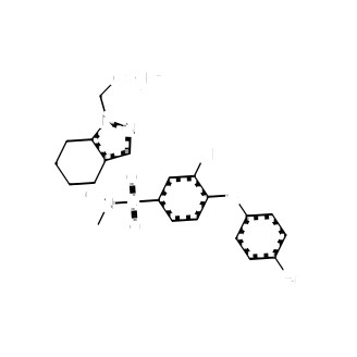 CCOC(=O)Cn1ncc2c1CCC[C@H]2N(C)S(=O)(=O)c1ccc(Oc2ccc(Br)cc2)c(Cl)c1